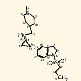 CCCS(=O)(=O)N1CCc2cc([C@@H]3C[C@H]3NCC3CCNCC3)ccc21